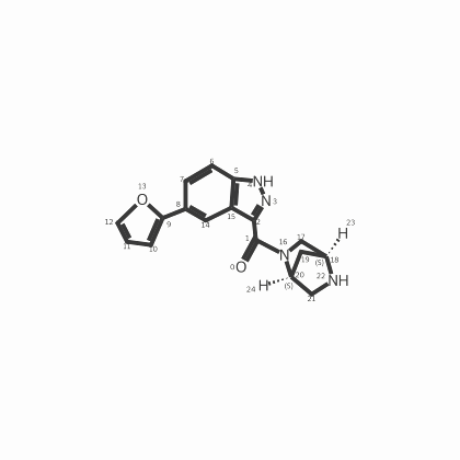 O=C(c1n[nH]c2ccc(-c3ccco3)cc12)N1C[C@@H]2C[C@H]1CN2